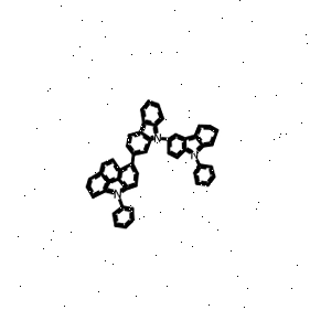 c1ccc(-n2c3ccccc3c3cc(-n4c5ccccc5c5ccc(-c6ccc7c8c6ccc6cccc(c68)n7-c6ccccc6)cc54)ccc32)cc1